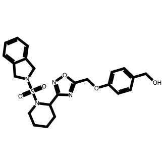 O=S(=O)(N1Cc2ccccc2C1)N1CCCCC1c1noc(COc2ccc(CO)cc2)n1